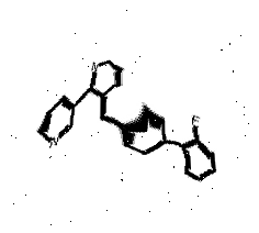 Fc1ccccc1-c1ccc(C=C2CCCN=C2c2cccnc2)cc1